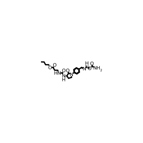 CCCCOC(=O)CCNC(=O)N[C@H]1CCN(c2ccc(C=NNOC(N)=O)cc2)C1=O